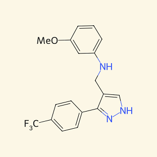 COc1cccc(NCc2c[nH]nc2-c2ccc(C(F)(F)F)cc2)c1